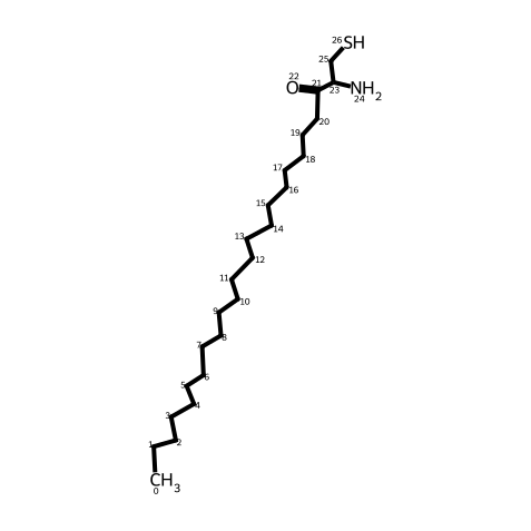 CCCCCCCCCCCCCCCCCCCCCC(=O)C(N)CS